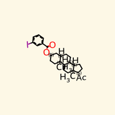 CC(=O)[C@H]1CC[C@H]2[C@@H]3CC[C@H]4C[C@H](OC(=O)c5cccc(I)c5)CC[C@]4(C)C3=CC[C@]12C